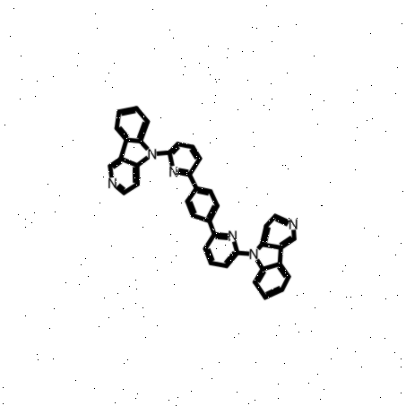 c1cc(-c2ccc(-c3cccc(-n4c5ccccc5c5cnccc54)n3)cc2)nc(-n2c3ccccc3c3cnccc32)c1